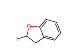 IC1Cc2ccccc2O1